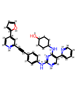 OC1CCC(Nc2nc(Nc3ccc(C#Cc4cc(-c5ccco5)ccn4)cc3)ncc2-c2ccccn2)CC1